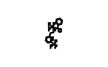 O=C(c1ccccc1)N(CCc1cccc(C(F)(F)F)n1)C(F)(F)F